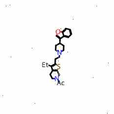 CCc1c(CCN2CCC(c3coc4ccccc34)CC2)sc2c1CCN(C(C)=O)C2